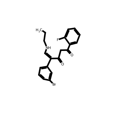 CCCNC=C(C(=O)CC(=O)c1ccccc1F)c1cccc(Br)c1